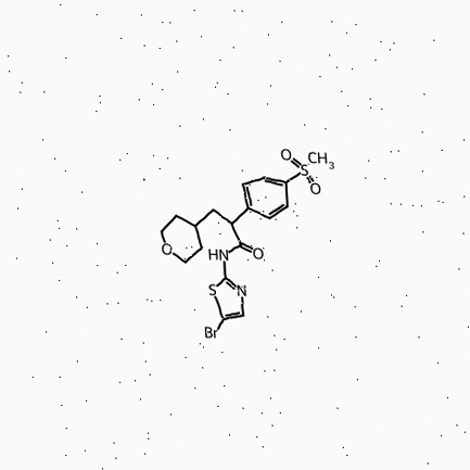 CS(=O)(=O)c1ccc(C(CC2CCOCC2)C(=O)Nc2ncc(Br)s2)cc1